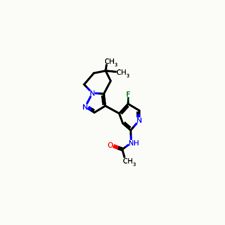 CC(=O)Nc1cc(-c2cnn3c2CC(C)(C)CC3)c(F)cn1